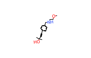 COCCNCc1ccc(C#CC(C)(C)O)cc1